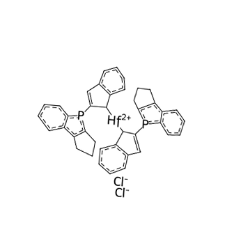 C1=C(p2c3c(c4ccccc42)CCC3)[CH]([Hf+2][CH]2C(p3c4c(c5ccccc53)CCC4)=Cc3ccccc32)c2ccccc21.[Cl-].[Cl-]